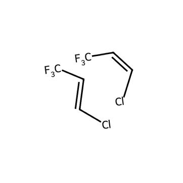 FC(F)(F)/C=C/Cl.FC(F)(F)/C=C\Cl